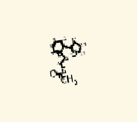 CC(=O)SCCc1ccccc1C1CCCO1